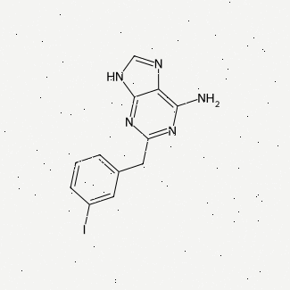 Nc1nc(Cc2cccc(I)c2)nc2[nH]cnc12